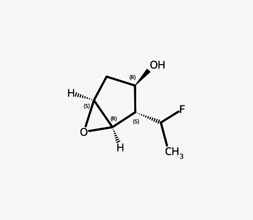 CC(F)[C@@H]1[C@H]2O[C@H]2C[C@H]1O